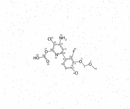 COCOc1c(Cl)ccc(-c2cc(N)c(Cl)c(OC(=O)O)n2)c1F